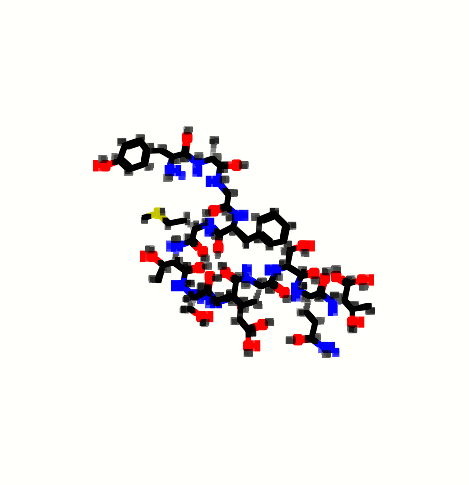 CSCC[C@H](NC(=O)[C@H](Cc1ccccc1)NC(=O)CNC(=O)[C@@H](C)NC(=O)[C@@H](N)Cc1ccc(O)cc1)C(=O)N[C@H](C(=O)N[C@@H](CO)C(=O)N[C@@H](CCC(=O)O)C(=O)N[C@@H](CCCCN)C(=O)N[C@@H](CO)C(=O)N[C@@H](CCC(N)=O)C(=O)N[C@H](C(=O)O)[C@@H](C)O)[C@@H](C)O